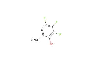 CC(=O)Nc1cc(F)c(F)c(F)c1Br